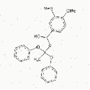 COc1ccc(C(O)OC(C)(Oc2ccccc2)Oc2ccccc2)cc1OC